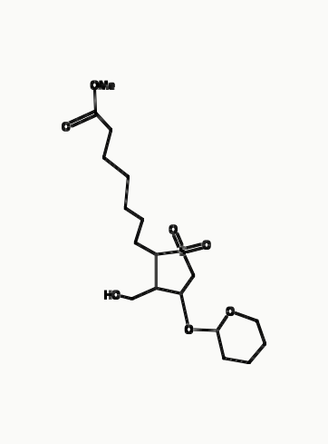 COC(=O)CCCCCCC1C(CO)C(OC2CCCCO2)CS1(=O)=O